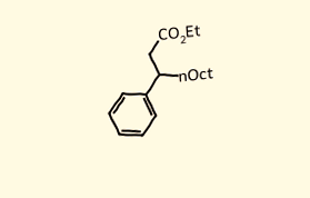 CCCCCCCCC(CC(=O)OCC)c1ccccc1